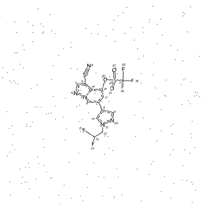 N#Cc1cnn2cc(-c3cnn(CC(F)F)c3)cc(OS(=O)(=O)C(F)(F)F)c12